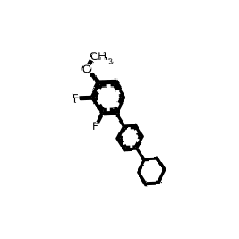 COc1ccc(-c2ccc(C3CC[CH]CC3)cc2)c(F)c1F